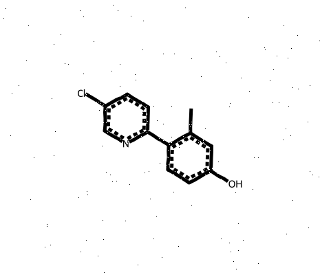 Cc1cc(O)ccc1-c1ccc(Cl)cn1